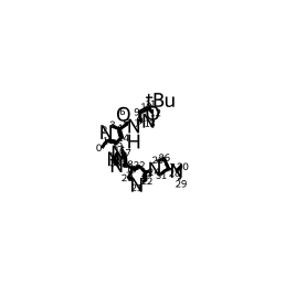 Cc1ncc(C(=O)Nc2cc(C(C)(C)C)on2)cc1-n1cc(-c2cncc(N3CC[C@@H](N(C)C)C3)c2)nn1